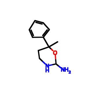 CC1(c2ccccc2)CCNC(N)O1